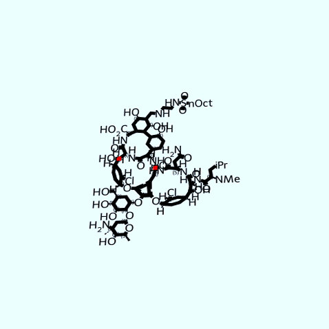 CCCCCCCCS(=O)(=O)NCCNCC1[C@H](O)C2C3C[C@H](CC[C@H]3O)[C@H]3NC(=O)[C@@H]4NC(=O)[C@H](CC(N)=O)NC(=O)[C@H](NC(=O)[C@@H](CC(C)C)NC)[C@H](O)[C@H]5CC[C@@H](Oc6cc4cc(c6O[C@@H]4C[C@H](CO)[C@@H](O)[C@H](O)[C@H]4O[C@H]4C[C@](C)(N)[C@H](O)[C@H](C)O4)O[C@@H]4CC[C@@H](C[C@@H]4Cl)[C@@H](O)[C@H](NC3=O)C(=O)N[C@H](C(=O)O)C2C[C@@H]1O)[C@H](Cl)C5